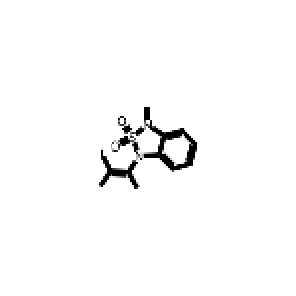 C/C(I)=C(\C)N1c2ccccc2N(C)S1(=O)=O